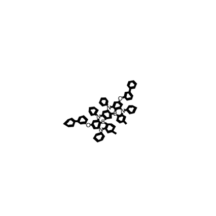 Cc1ccc2c(c1)N(c1ccccc1)c1cc(Oc3cccc(-c4ccccc4)c3)cc3c1B2c1cc2c(cc1N3c1ccccc1)N(c1ccccc1)c1cc(Oc3cccc(-c4ccccc4)c3)cc3c1B2c1ccc(C)cc1N3c1ccccc1